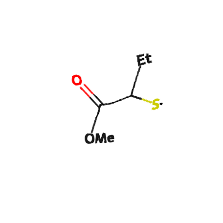 CCC([S])C(=O)OC